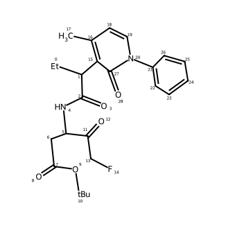 CCC(C(=O)NC(CC(=O)OC(C)(C)C)C(=O)CF)c1c(C)ccn(-c2ccccc2)c1=O